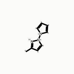 Cc1ccn(-n2cccc2)n1